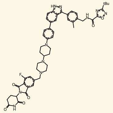 Cc1cc(-c2n[nH]c3ccc(-c4ccc(N5CCC(N6CCN(Cc7cc(F)c8c(c7)C(=O)N(C7CCC(=O)NC7=O)C8=O)CC6)CC5)cc4)cc23)ccc1CNC(=O)c1nc(C(C)(C)C)no1